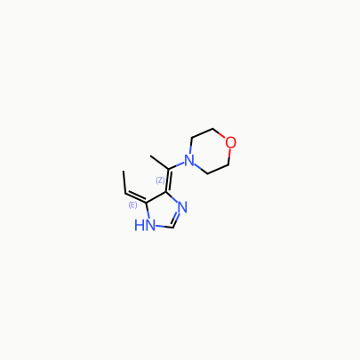 C/C=c1/[nH]cn/c1=C(/C)N1CCOCC1